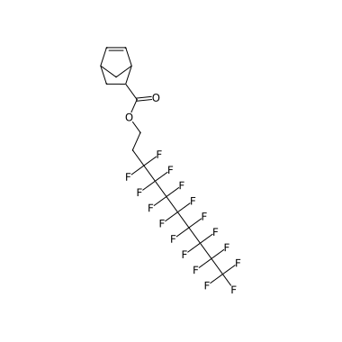 O=C(OCCC(F)(F)C(F)(F)C(F)(F)C(F)(F)C(F)(F)C(F)(F)C(F)(F)C(F)(F)F)C1CC2C=CC1C2